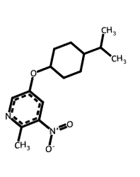 Cc1ncc(OC2CCC(C(C)C)CC2)cc1[N+](=O)[O-]